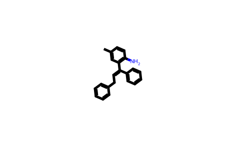 Cc1ccc(N)c(C(=CCc2ccccc2)c2ccccc2)c1